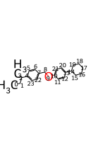 CCC(C)c1ccc(COc2ccc(C3CCCCC3)cc2)cc1